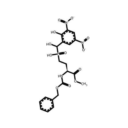 COC(=O)[C@H](CCP(=O)(O)C(O)c1cc([N+](=O)[O-])cc([N+](=O)[O-])c1O)NC(=O)OCc1ccccc1